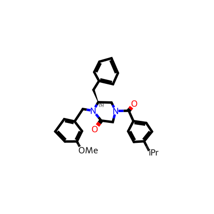 COc1cccc(CN2C(=O)CN(C(=O)c3ccc(C(C)C)cc3)C[C@@H]2Cc2ccccc2)c1